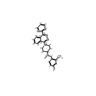 CN(Cc1ccc(F)cc1C(F)(F)F)C1CCN(c2nnc(-c3ncccn3)c3ccccc23)CC1